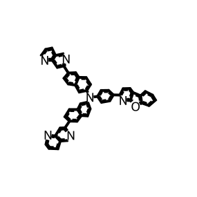 c1cnc2cc(-c3ccc4cc(N(c5ccc(-c6ccc7c(n6)oc6ccccc67)cc5)c5ccc6cc(-c7cc8ncccc8cn7)ccc6c5)ccc4c3)ncc2c1